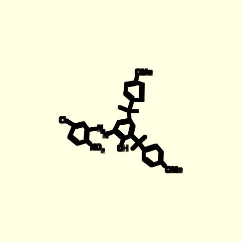 COc1ccc(C(C)(C)c2cc(N=Nc3cc(Cl)ccc3[N+](=O)[O-])c(O)c(C(C)(C)c3ccc(OC)cc3)c2)cc1